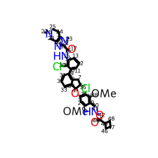 COc1cc(OC2CCc3c(-c4cccc(NC(=O)c5nc6c(n5C)CCN(C)C6)c4Cl)cccc32)c(Cl)c(OC)c1CNOC(=O)C1CCC1